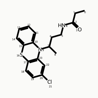 CCC(=O)NCCC(C)N1c2ccccc2Sc2ccc(Cl)cc21